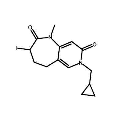 CN1C(=O)C(I)CCc2cn(CC3CC3)c(=O)cc21